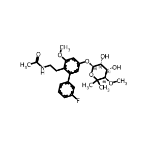 COc1cc(O[C@@H]2OC(C)(C)[C@H](OC)[C@@H](O)[C@H]2O)cc(-c2cccc(F)c2)c1CCNC(C)=O